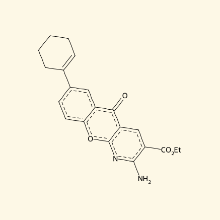 CCOC(=O)c1cc2c(=O)c3cc(C4=CCCCC4)ccc3oc2nc1N